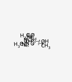 C[C@@H](O)CCCCn1c(=O)c2c(nc3n2CCN3C)n(C)c1=O